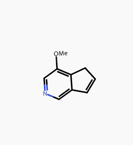 COc1cncc2c1CC=C2